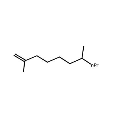 C=C(C)CCCCC(C)CCC